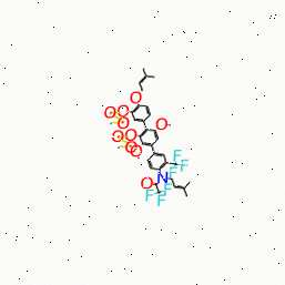 COc1cc(-c2ccc(N(CC=C(C)C)C(=O)C(F)(F)F)c(C(F)(F)F)c2)c(OC)c(OS(C)(=O)=O)c1-c1ccc(OCC=C(C)C)c(OS(C)(=O)=O)c1